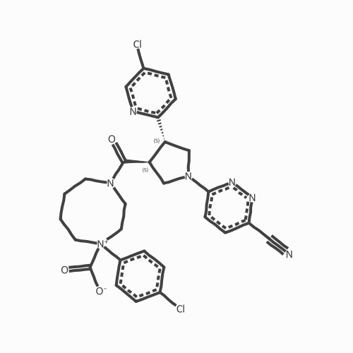 N#Cc1ccc(N2C[C@@H](C(=O)N3CCCC[N+](C(=O)[O-])(c4ccc(Cl)cc4)CC3)[C@H](c3ccc(Cl)cn3)C2)nn1